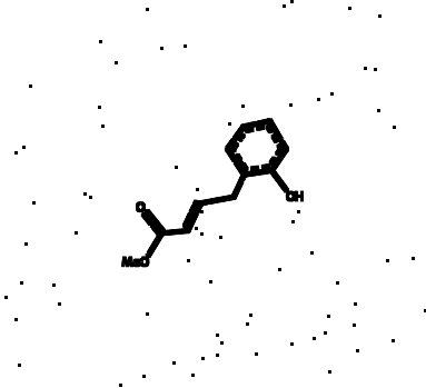 COC(=O)C=CCc1ccccc1O